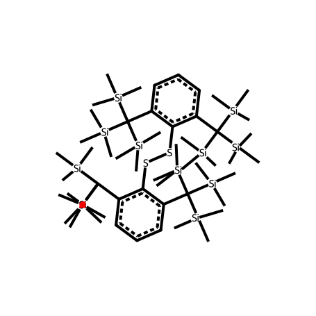 C[Si](C)(C)C(c1cccc(C([Si](C)(C)C)([Si](C)(C)C)[Si](C)(C)C)c1SSc1c(C([Si](C)(C)C)([Si](C)(C)C)[Si](C)(C)C)cccc1C([Si](C)(C)C)([Si](C)(C)C)[Si](C)(C)C)([Si](C)(C)C)[Si](C)(C)C